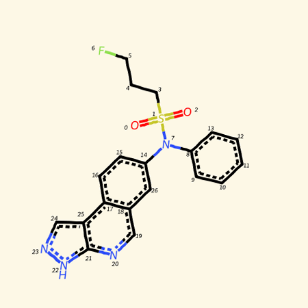 O=S(=O)(CCCF)N(c1ccccc1)c1ccc2c(cnc3[nH]ncc32)c1